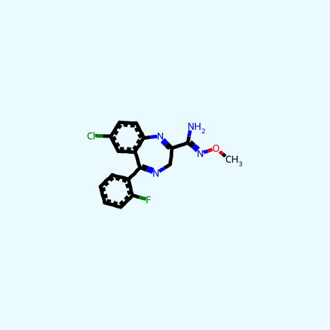 CO/N=C(\N)C1=Nc2ccc(Cl)cc2C(c2ccccc2F)=NC1